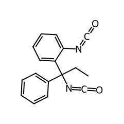 CCC(N=C=O)(c1ccccc1)c1ccccc1N=C=O